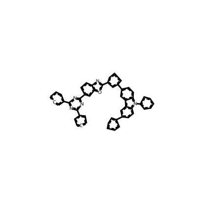 c1ccc(-c2ccc3c(c2)c2cc(-c4cccc(-c5nc6ccc(-c7nc(-c8ccccc8)nc(-c8ccccc8)n7)cc6o5)c4)ccc2n3-c2ccccc2)cc1